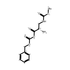 CC(C)(C)OC(=O)NC[C@H](N)C(=O)OC(=O)OCc1ccccc1